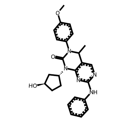 COc1ccc(N2C(=O)N([C@@H]3CC[C@@H](O)C3)c3nc(Nc4ccccc4)ncc3C2C)cc1